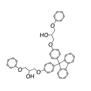 OC(COc1ccccc1)COc1ccc(C2(c3ccc(OCC(O)COc4ccccc4)cc3)c3ccccc3-c3ccccc32)cc1